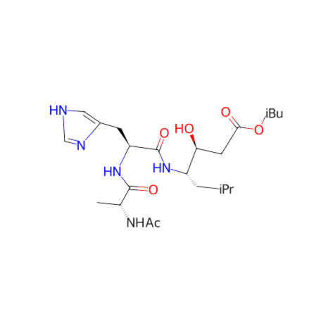 CCC(C)OC(=O)C[C@H](O)[C@H](CC(C)C)NC(=O)[C@H](Cc1c[nH]cn1)NC(=O)[C@@H](C)NC(C)=O